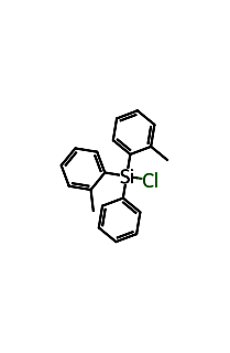 Cc1ccccc1[Si](Cl)(c1ccccc1)c1ccccc1C